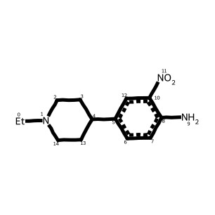 CCN1CCC(c2ccc(N)c([N+](=O)[O-])c2)CC1